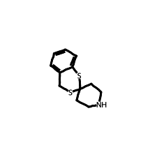 c1ccc2c(c1)CSC1(CCNCC1)S2